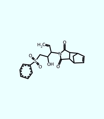 C=CC(C(O)CS(=O)(=O)c1ccccc1)N1C(=O)C2C3C=CC(C3)C2C1=O